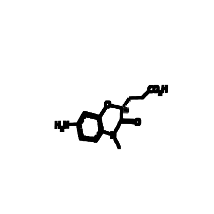 CN1C(=O)[C@@H](CCC(=O)O)Oc2cc(N)ccc21